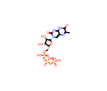 Cc1nc2cn([C@@H]3O[C@H](COP(=O)(O)OP(=O)(O)OP(=O)(O)O)[C@H](O)C3O)c(=O)nc2[nH]c1=O